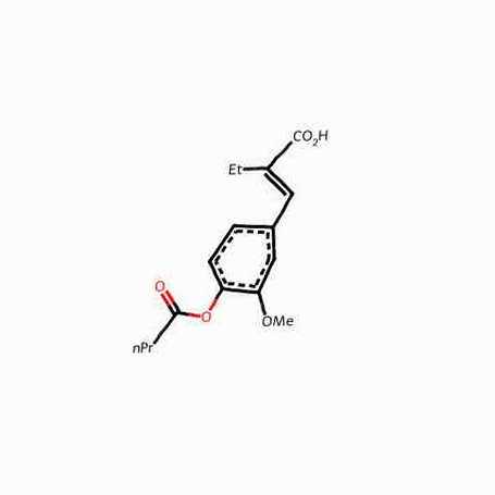 CCCC(=O)Oc1ccc(/C=C(\CC)C(=O)O)cc1OC